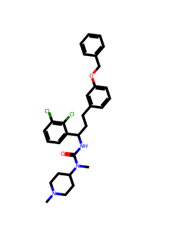 CN1CCC(N(C)C(=O)NC(CCc2cccc(OCc3ccccc3)c2)c2cccc(Cl)c2Cl)CC1